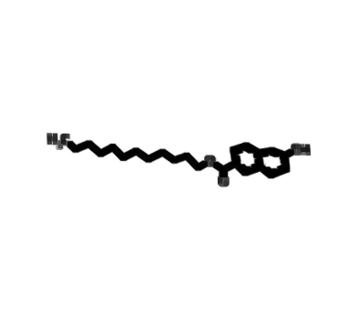 CCCCCCCCCCCCOC(=O)c1ccc2cc(O)ccc2c1